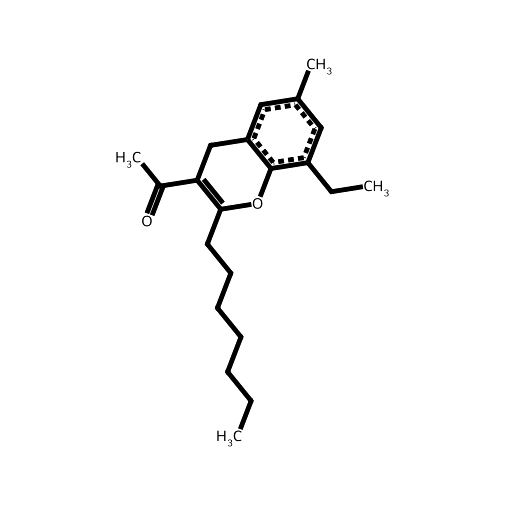 CCCCCCCC1=C(C(C)=O)Cc2cc(C)cc(CC)c2O1